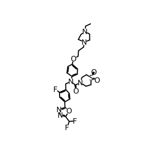 CCN1CCN(CCCOc2ccc(N(Cc3ccc(-c4nnc(C(F)F)o4)cc3F)C(=O)N3CCS(=O)(=O)CC3)cc2)CC1